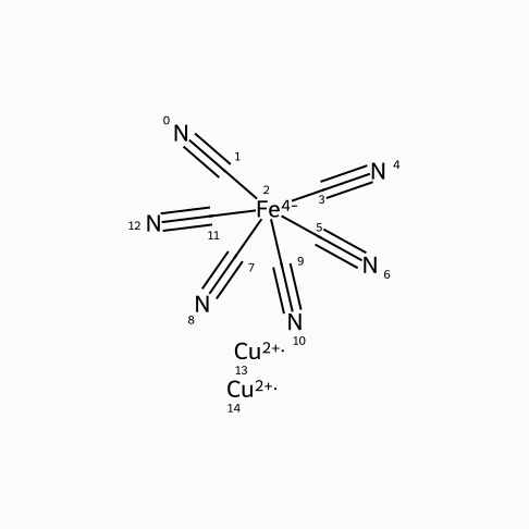 N#[C][Fe-4]([C]#N)([C]#N)([C]#N)([C]#N)[C]#N.[Cu+2].[Cu+2]